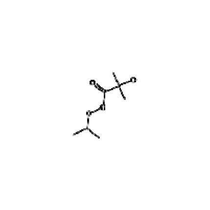 CC(C)OOC(=O)C(C)(C)[O]